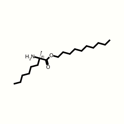 CCCCCCCCCCOC(=O)[C@](C)(N)CCCCCC